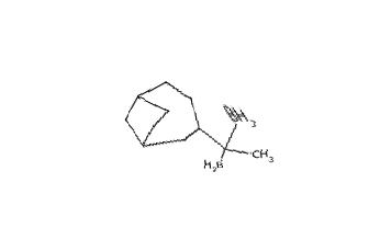 BC(B)(C)C1CCC2CC(C2)C1